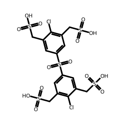 O=S(=O)(O)Cc1cc(S(=O)(=O)c2cc(CS(=O)(=O)O)c(Cl)c(CS(=O)(=O)O)c2)cc(CS(=O)(=O)O)c1Cl